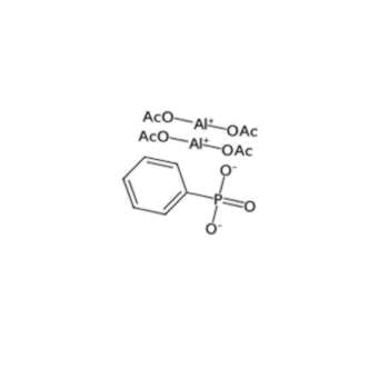 CC(=O)[O][Al+][O]C(C)=O.CC(=O)[O][Al+][O]C(C)=O.O=P([O-])([O-])c1ccccc1